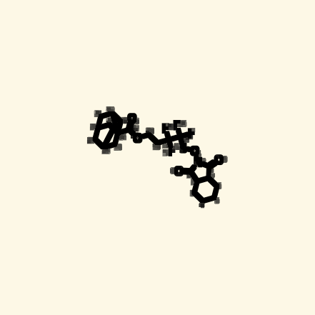 O=C1C2CCCCC2C(=O)N1OSC(F)(F)C(F)(F)CCOC(=O)C12CC3CC(CC(C3)C1)C2